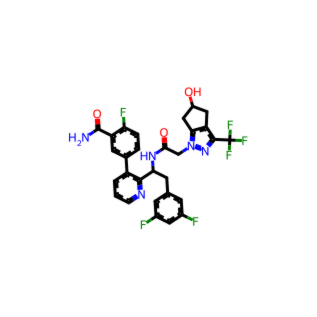 NC(=O)c1cc(-c2cccnc2C(Cc2cc(F)cc(F)c2)NC(=O)Cn2nc(C(F)(F)F)c3c2CC(O)C3)ccc1F